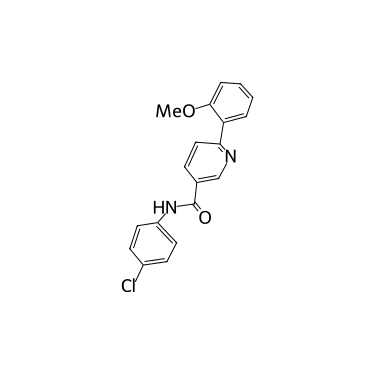 COc1ccccc1-c1ccc(C(=O)Nc2ccc(Cl)cc2)cn1